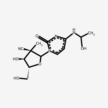 CC(O)Nc1ccn(C2O[C@H](CO)[C@@H](O)[C@@]2(C)C#N)c(=O)n1